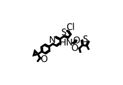 CC(=O)C1(c2ccc(-c3ccc(-c4sc(Cl)cc4NC(=O)OC(C)c4cscc4C)cn3)cc2)CC1